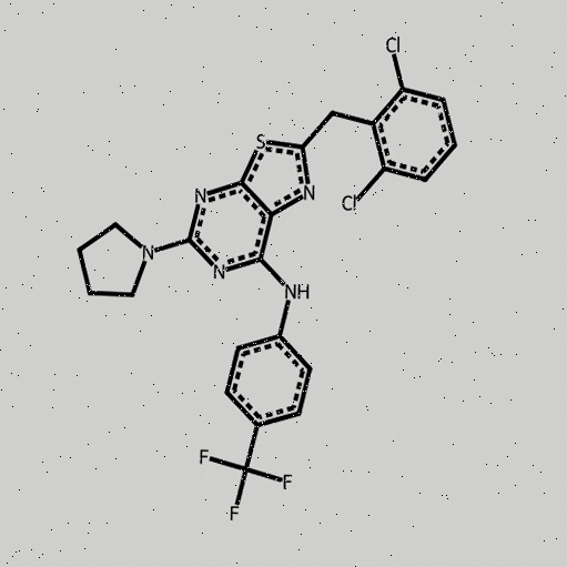 FC(F)(F)c1ccc(Nc2nc(N3CCCC3)nc3sc(Cc4c(Cl)cccc4Cl)nc23)cc1